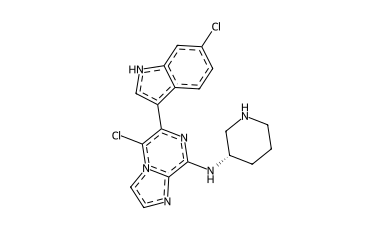 Clc1ccc2c(-c3nc(N[C@H]4CCCNC4)c4nccn4c3Cl)c[nH]c2c1